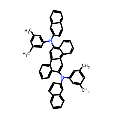 Cc1cc(C)cc(N(c2ccc3ccccc3c2)c2cc3c4ccccc4c(N(c4cc(C)cc(C)c4)c4ccc5ccccc5c4)cc3c3ccccc23)c1